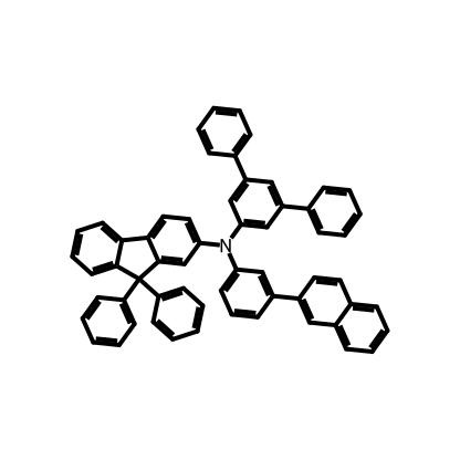 c1ccc(-c2cc(-c3ccccc3)cc(N(c3cccc(-c4ccc5ccccc5c4)c3)c3ccc4c(c3)C(c3ccccc3)(c3ccccc3)c3ccccc3-4)c2)cc1